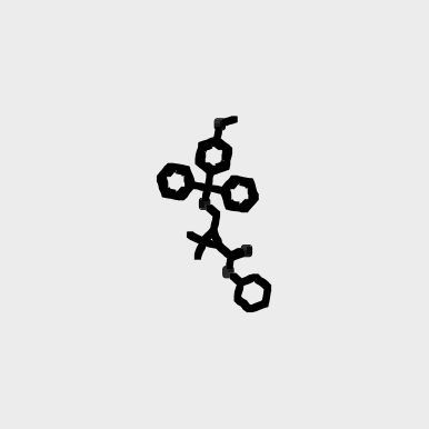 COc1ccc(C(OCC2C(C(=O)OC3CCCCC3)C2(C)C)(c2ccccc2)c2ccccc2)cc1